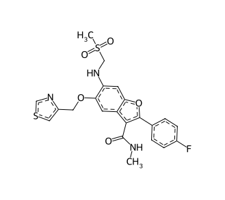 CNC(=O)c1c(-c2ccc(F)cc2)oc2cc(NCS(C)(=O)=O)c(OCc3cscn3)cc12